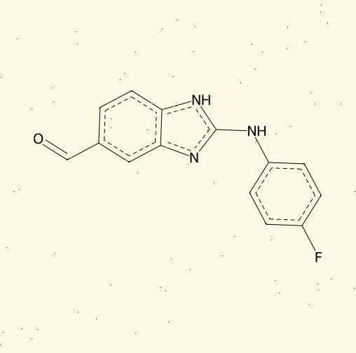 O=Cc1ccc2[nH]c(Nc3ccc(F)cc3)nc2c1